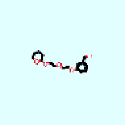 O=Cc1cccc(OCCOCCOC2CCCCO2)c1